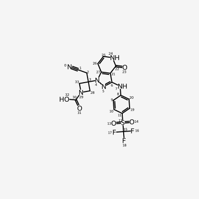 N#CCC1(n2nc(Nc3ccc(S(=O)(=O)C(F)(F)F)cc3)c3c(=O)[nH]ccc32)CN(C(=O)O)C1